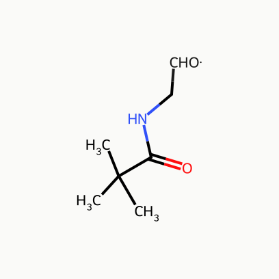 CC(C)(C)C(=O)NC[C]=O